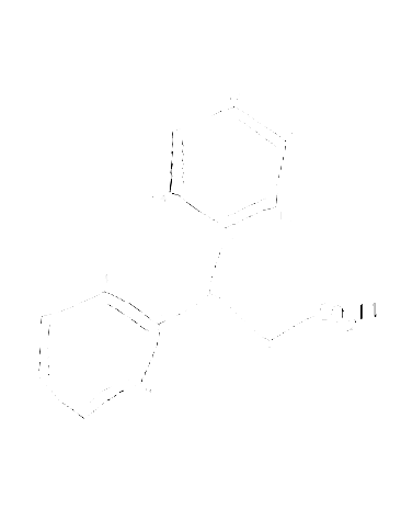 O=C(O)[CH]C(c1ccccc1)c1ccccc1